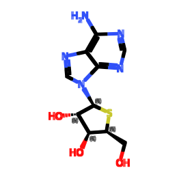 Nc1ncnc2c1ncn2[C@H]1S[C@@H](CO)[C@@H](O)[C@@H]1O